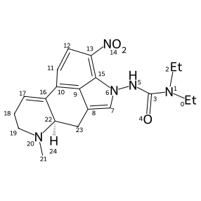 CCN(CC)C(=O)Nn1cc2c3c(ccc([N+](=O)[O-])c31)C1=CCCN(C)[C@@H]1C2